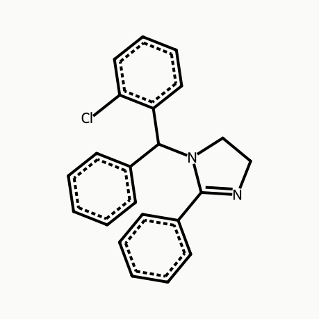 Clc1ccccc1C(c1ccccc1)N1CCN=C1c1ccccc1